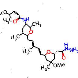 COC1(C)CC(/C=C/C(C)=C/CC2OC(C)C(NC(=O)/C=C\C(C)OC(C)=O)CC2C)O[C@H](CC(=O)NN)C1